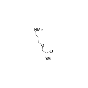 CCCCC(CC)COCCCNC